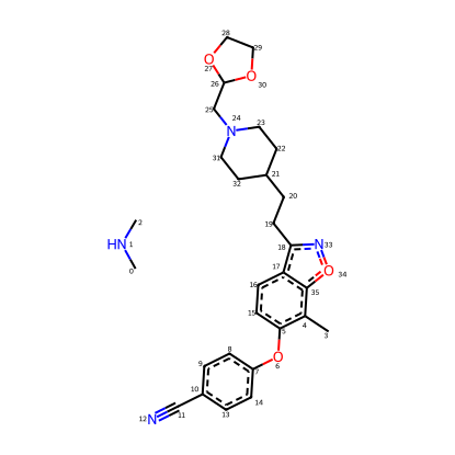 CNC.Cc1c(Oc2ccc(C#N)cc2)ccc2c(CCC3CCN(CC4OCCO4)CC3)noc12